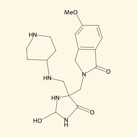 COc1ccc2c(c1)CN(CC1(CNC3CCNCC3)NC(O)NC1=O)C2=O